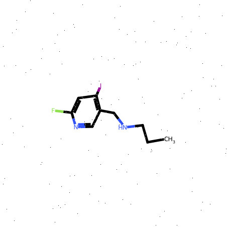 CCCNCc1cnc(F)cc1I